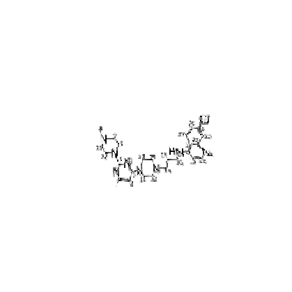 CN1CCN(c2nccc(N3CCN(CCCNc4ccnc5cc(Cl)ccc45)CC3)n2)CC1